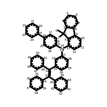 CC1(C)c2ccccc2-c2cccc(N(c3ccc(-c4ccccc4)cc3)c3cccc(C(=C(c4ccccc4)c4ccccc4)c4ccccc4)c3)c21